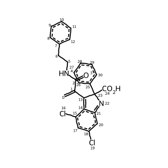 C=C(C(=O)NCCc1ccccc1)C1=c2c(Cl)cc(Cl)cc2=NC1(C(=O)O)c1ccccc1